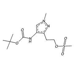 Cn1cc(NC(=O)OC(C)(C)C)c(CCOS(C)(=O)=O)n1